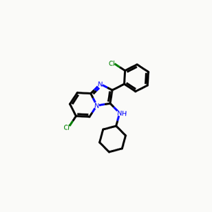 Clc1ccc2nc(-c3ccccc3Cl)c(NC3CCCCC3)n2c1